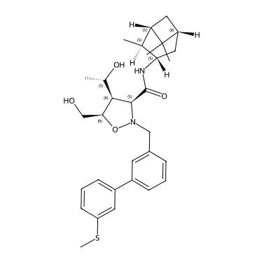 CSc1cccc(-c2cccc(CN3O[C@@H](CO)[C@@H]([C@H](C)O)[C@H]3C(=O)N[C@H]3C[C@H]4C[C@@H]([C@@H]3C)C4(C)C)c2)c1